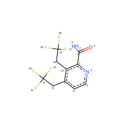 NC(=O)c1nccc(CC(F)(F)F)c1CC(F)(F)F